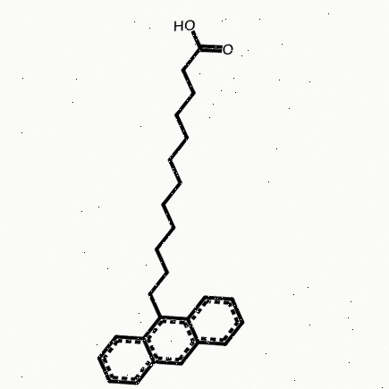 O=C(O)CCCCCCCCCCCc1c2ccccc2cc2ccccc12